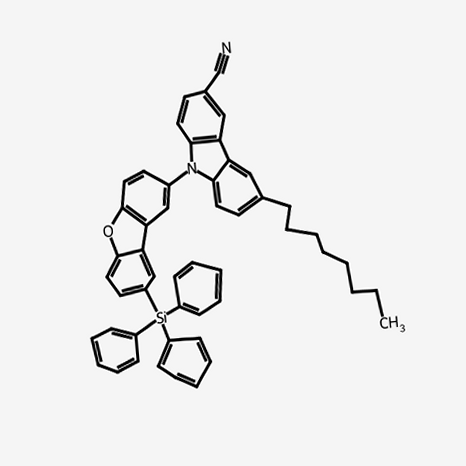 CCCCCCCCc1ccc2c(c1)c1cc(C#N)ccc1n2-c1ccc2oc3ccc([Si](c4ccccc4)(c4ccccc4)c4ccccc4)cc3c2c1